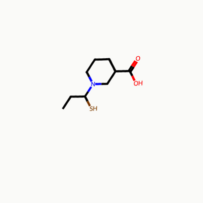 CCC(S)N1CCCC(C(=O)O)C1